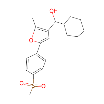 Cc1oc(-c2ccc(S(C)(=O)=O)cc2)cc1C(O)C1CCCCC1